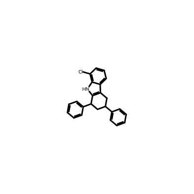 Clc1cccc2c3c([nH]c12)C(c1ccccc1)CC(c1ccccc1)C3